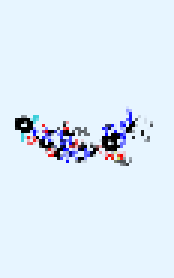 Cc1[nH]nc(Nc2ncnc3cc(OCCN4CCN(c5ncc(O[C@H]6C[C@@H](C(=O)Nc7c(F)cccc7F)N(C(=O)[C@@H](NC(=O)[C@H](C)N(C)C(=O)OC(C)(C)C)C(C)(C)C)C6)cn5)CC4)c(S(=O)(=O)C(C)(C)C)cc23)c1C